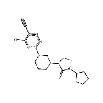 N#Cc1nnc(N2CCCC(N3CCN(C4CCCC4)C3=O)C2)nc1Cl